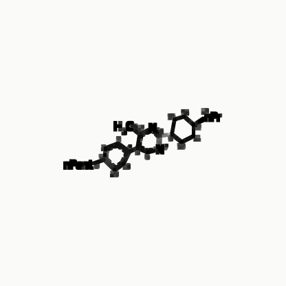 CCCCCc1ccc(-c2cnc([C@H]3CC[C@H](CCC)CC3)nc2C)cc1